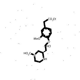 CCOC(=O)Cc1ccc(OCC[C@@H]2CN(C(=O)O)CCN2)c(OC)c1.Cl